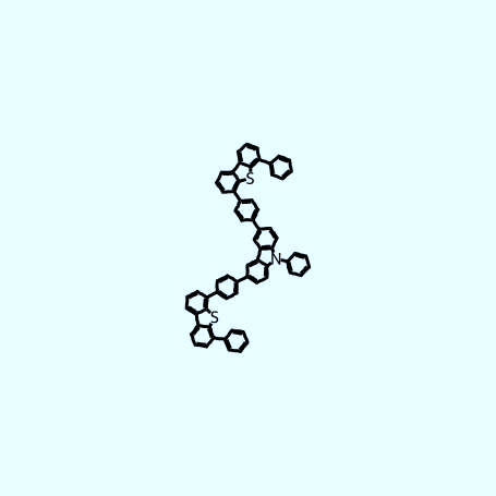 c1ccc(-c2cccc3c2sc2c(-c4ccc(-c5ccc6c(c5)c5cc(-c7ccc(-c8cccc9c8sc8c(-c%10ccccc%10)cccc89)cc7)ccc5n6-c5ccccc5)cc4)cccc23)cc1